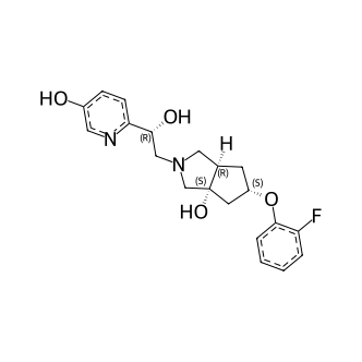 Oc1ccc([C@H](O)CN2C[C@H]3C[C@H](Oc4ccccc4F)C[C@@]3(O)C2)nc1